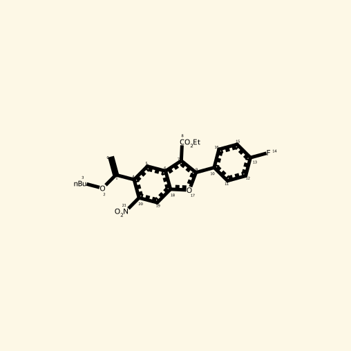 C=C(OCCCC)c1cc2c(C(=O)OCC)c(-c3ccc(F)cc3)oc2cc1[N+](=O)[O-]